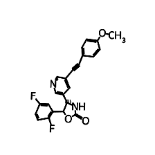 COc1ccc(C#Cc2cncc([C@H]3NC(=O)OC3c3cc(F)ccc3F)c2)cc1